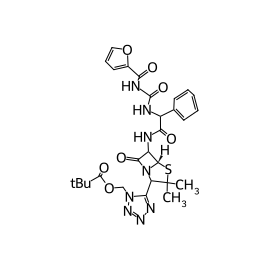 CC(C)(C)C(=O)OCn1nnnc1C1N2C(=O)C(NC(=O)C(NC(=O)NC(=O)c3ccco3)c3ccccc3)[C@@H]2SC1(C)C